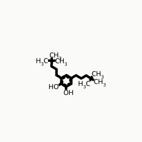 CC(C)(C)CCCc1cc(O)c(O)c(CCCC(C)(C)C)c1